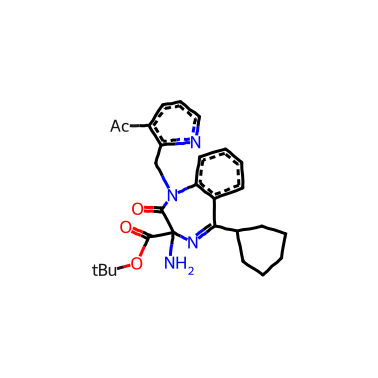 CC(=O)c1cccnc1CN1C(=O)C(N)(C(=O)OC(C)(C)C)N=C(C2CCCCC2)c2ccccc21